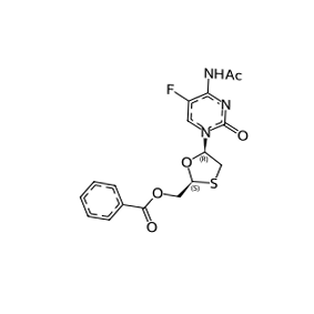 CC(=O)Nc1nc(=O)n([C@H]2CS[C@@H](COC(=O)c3ccccc3)O2)cc1F